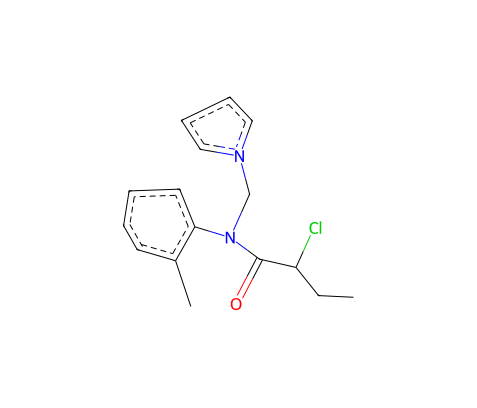 CCC(Cl)C(=O)N(Cn1cccc1)c1ccccc1C